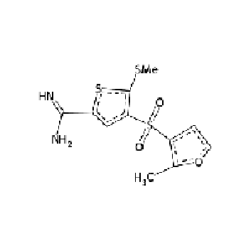 CSc1sc(C(=N)N)cc1S(=O)(=O)c1ccoc1C